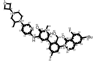 CC1CN(C2COC2)CCN1c1ccc(Nc2cc(-c3cc(F)cc(-n4ncc5cc(C(C)(C)C)cc(F)c5c4=O)c3CO)cn(C)c2=O)nc1